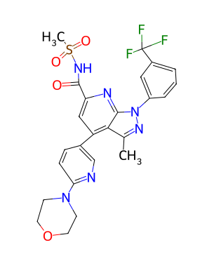 Cc1nn(-c2cccc(C(F)(F)F)c2)c2nc(C(=O)NS(C)(=O)=O)cc(-c3ccc(N4CCOCC4)nc3)c12